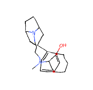 CN(CCN1C2CCC1CC(c1ccccc1O)C2)C1CCCCC1